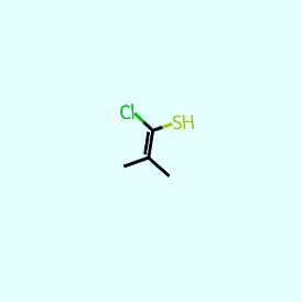 CC(C)=C(S)Cl